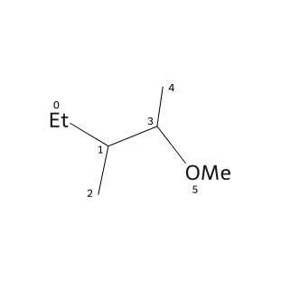 [CH2]CC(C)C(C)OC